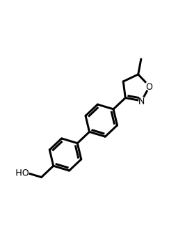 CC1CC(c2ccc(-c3ccc(CO)cc3)cc2)=NO1